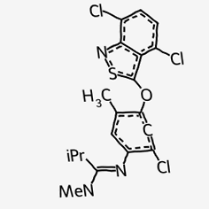 CNC(=Nc1cc(C)c(Oc2snc3c(Cl)ccc(Cl)c23)cc1Cl)C(C)C